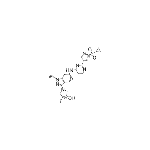 CC(C)n1nc(N2C[C@@H](O)[C@H](F)C2)c2cnc(Nc3ccnc(-c4cnn(S(=O)(=O)C5CC5)c4)n3)cc21